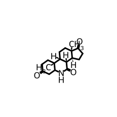 C[C@]12CCC(=O)CC1NC(=O)[C@@H]1[C@H]2CC[C@]2(C)C(=O)CC[C@@H]12